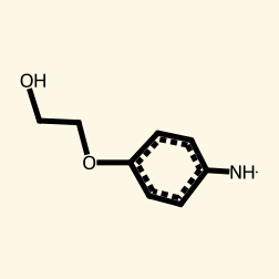 [NH]c1ccc(OCCO)cc1